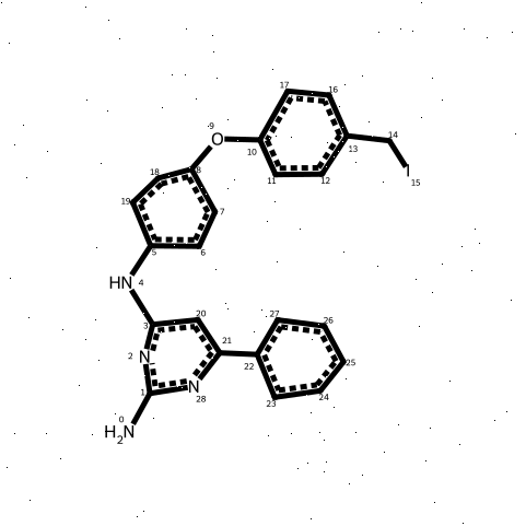 Nc1nc(Nc2ccc(Oc3ccc(CI)cc3)cc2)cc(-c2ccccc2)n1